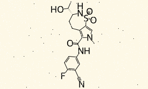 CC(O)[C@H]1CCc2c(cn(C)c2C(=O)Nc2ccc(F)c(C#N)c2)S(=O)(=O)N1